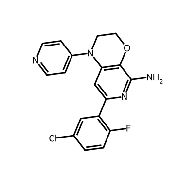 Nc1nc(-c2cc(Cl)ccc2F)cc2c1OCCN2c1ccncc1